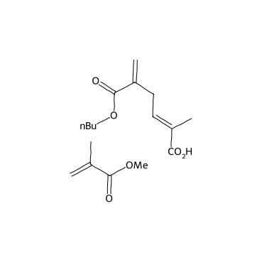 C=C(C)C(=O)OC.C=C(CC=C(C)C(=O)O)C(=O)OCCCC